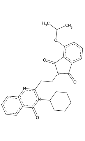 CC(C)Oc1cccc2c1C(=O)N(CCc1nc3ccccc3c(=O)n1C1CCCCC1)C2=O